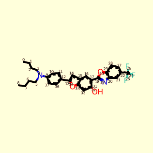 CCCCN(CCCC)c1ccc(-c2cc3cc(-c4nc5cc(C(F)(F)F)ccc5o4)c(O)cc3o2)cc1